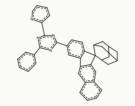 c1ccc(-c2nc(-c3ccc4c(c3)-c3cc5ccccc5cc3C43C4CC5CC(C4)CC3C5)nc(-c3ccccn3)n2)cc1